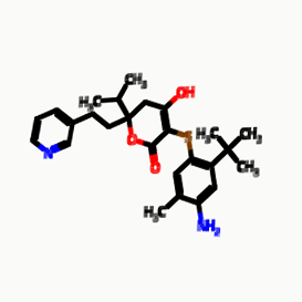 Cc1cc(SC2=C(O)CC(CCc3cccnc3)(C(C)C)OC2=O)c(C(C)(C)C)cc1N